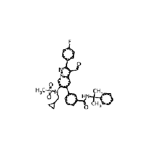 CC(C)(NC(=O)c1cccc(-c2cc3c(C=O)c(-c4ccc(F)cc4)nn3cc2N(CC2CC2)S(C)(=O)=O)c1)c1ccccc1